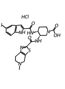 CN1CCc2nc(C(=O)N[C@@H]3CN(C(=O)O)CC[C@@H]3NC(=O)c3cc4cc(Cl)ccc4[nH]3)sc2C1.Cl